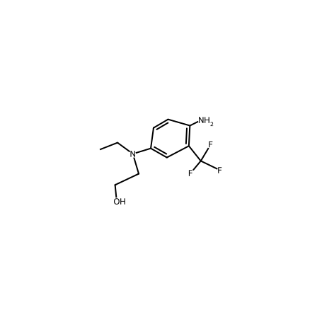 CCN(CCO)c1ccc(N)c(C(F)(F)F)c1